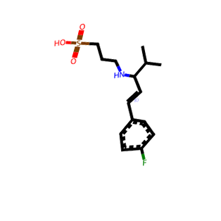 CC(C)C(/C=C/c1ccc(F)cc1)NCCCS(=O)(=O)O